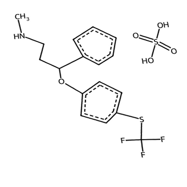 CNCCC(Oc1ccc(SC(F)(F)F)cc1)c1ccccc1.O=S(=O)(O)O